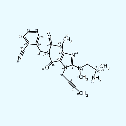 CC#CCn1c(N(C)C[C@H](C)N)nc2c1c(=O)n(Cc1ccccc1C#N)c(=O)n2C